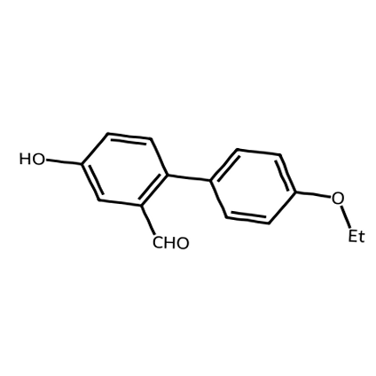 CCOc1ccc(-c2ccc(O)cc2C=O)cc1